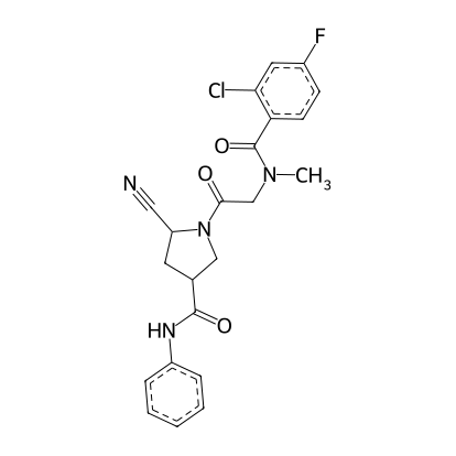 CN(CC(=O)N1CC(C(=O)Nc2ccccc2)CC1C#N)C(=O)c1ccc(F)cc1Cl